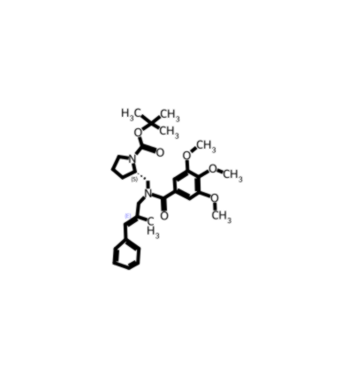 COc1cc(C(=O)N(C/C(C)=C/c2ccccc2)C[C@@H]2CCCN2C(=O)OC(C)(C)C)cc(OC)c1OC